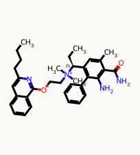 CCCCc1cc2ccccc2c(OCC[N+](C)(C)[C@@H](CC)c2cc(C)c(C(N)=O)c(N)c2-c2ccccc2)n1